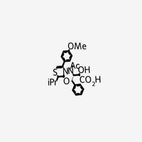 COc1ccc(C2=CSC(C(C)C)C(=O)N2N(C(C)=O)[C@@H](Cc2ccccc2)C(O)C(=O)O)cc1